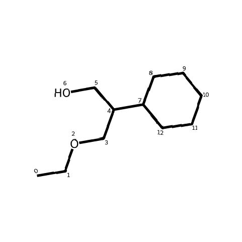 CCOC[C](CO)C1CCCCC1